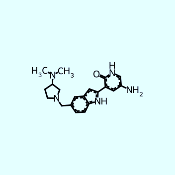 CN(C)[C@@H]1CCN(Cc2ccc3[nH]c(-c4cc(N)c[nH]c4=O)cc3c2)C1